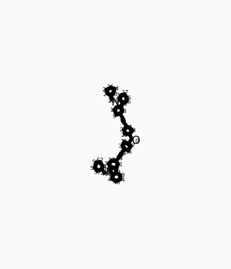 O=C(c1ccc(C#Cc2ccc3c(c2)c2ccccc2n3Cc2ccccc2)cc1)c1ccc(C#Cc2ccc3c(c2)c2ccccc2n3Cc2ccccc2)cc1